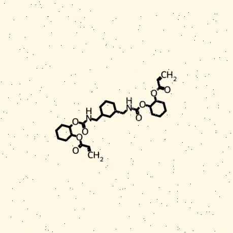 C=CC(=O)OC1CCCCC1OC(=O)NCC1CCCC(CNC(=O)OC2CCCCC2OC(=O)C=C)C1